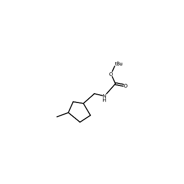 CC1CCC(CNC(=O)OC(C)(C)C)C1